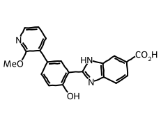 COc1ncccc1-c1ccc(O)c(-c2nc3ccc(C(=O)O)cc3[nH]2)c1